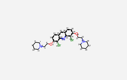 Brc1c(OCCN2CCCCC2)ccc2cc3ccc(OCCN4CCCCC4)c(Br)c3nc12